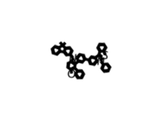 CC1(C)c2ccccc2-c2cc(-n3c4ccc(-c5ccc6c(c5)c5c7ccccc7sc5n6-c5ccccc5)cc4c4c5c(ccc43)oc3ccccc35)ccc21